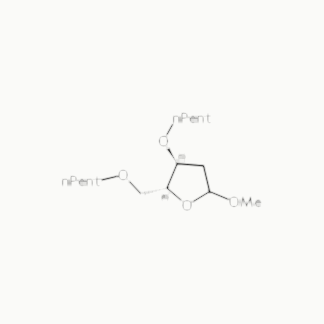 CCCCCOC[C@H]1OC(OC)C[C@@H]1OCCCCC